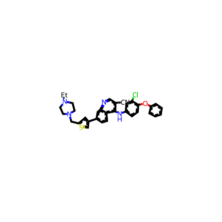 CCN1CCN(Cc2cc(-c3ccc4c(Nc5ccc(Oc6ccccc6)c(Cl)c5)c(C#N)cnc4c3)cs2)CC1